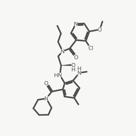 CCCN(C[C@@H](O)Nc1c(NC)cc(C)cc1C(=O)N1CCCCC1)C(=O)c1cncc(OC)c1Cl